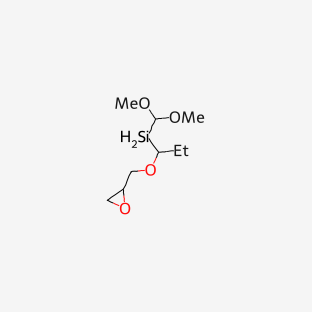 CCC(OCC1CO1)[SiH2]C(OC)OC